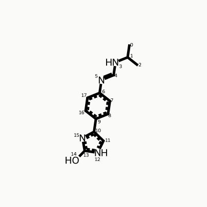 CC(C)N/C=N/c1ccc(-c2c[nH]c(O)n2)cc1